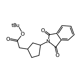 CC(C)(C)OC(=O)CC1CCC(N2C(=O)c3ccccc3C2=O)C1